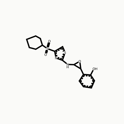 O=S(=O)(c1csc(NC2OC2c2ccccc2O)n1)C1CCCCC1